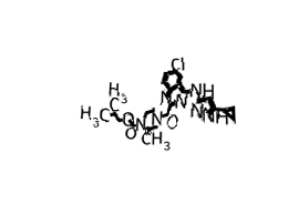 CC(C)COC(=O)N1CCN(C(=O)c2nc(Nc3cc(C4CC4)[nH]n3)c3cc(Cl)ccc3n2)C[C@H]1C